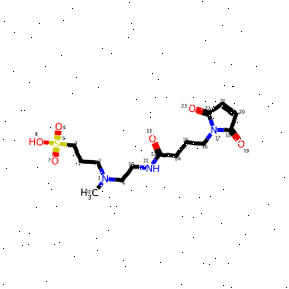 CN(CCCS(=O)(=O)O)CCNC(=O)CCCN1C(=O)C=CC1=O